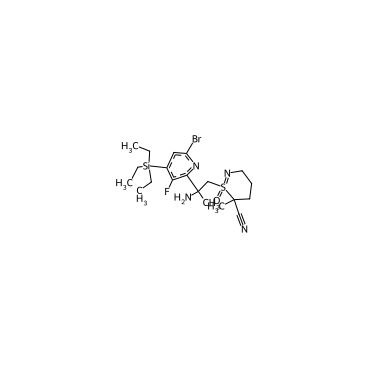 CC[Si](CC)(CC)c1cc(Br)nc(C(C)(N)CS2(=O)=NCCCC2(C)C#N)c1F